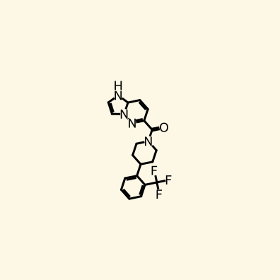 O=C(C1=NN2C=CNC2C=C1)N1CCC(c2ccccc2C(F)(F)F)CC1